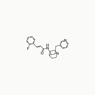 O=C(C=Cc1ccccc1F)NC1C2CCN(CC2)C1Cc1cccnc1